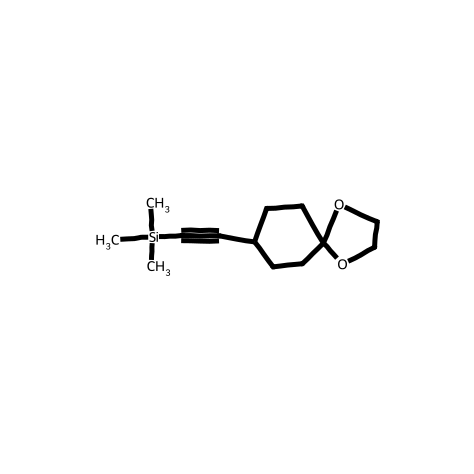 C[Si](C)(C)C#CC1CCC2(CC1)OCCO2